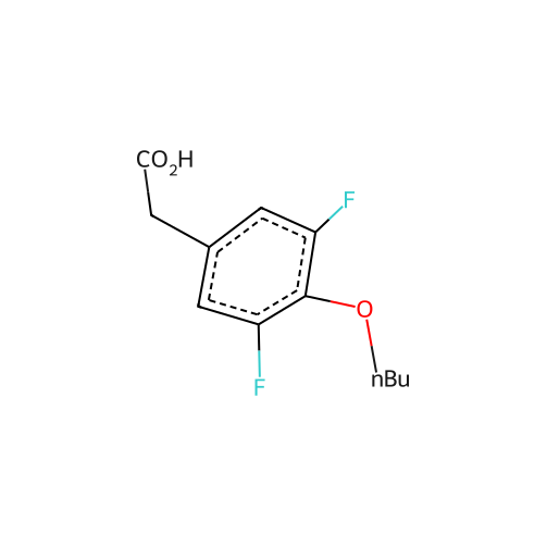 CCCCOc1c(F)cc(CC(=O)O)cc1F